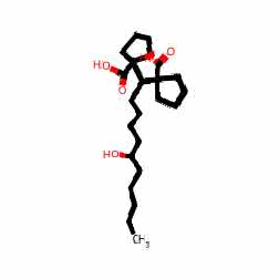 CCCCCC(O)CCCCC(C1(C(=O)O)CCCC1)C1(C(=O)O)CCCC1